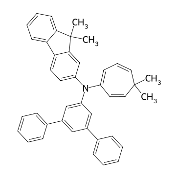 CC1(C)C=CC=C(N(c2cc(-c3ccccc3)cc(-c3ccccc3)c2)c2ccc3c(c2)C(C)(C)c2ccccc2-3)C=C1